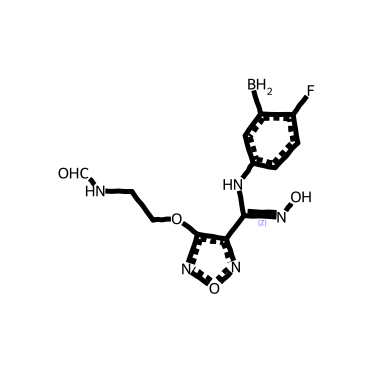 Bc1cc(N/C(=N\O)c2nonc2OCCNC=O)ccc1F